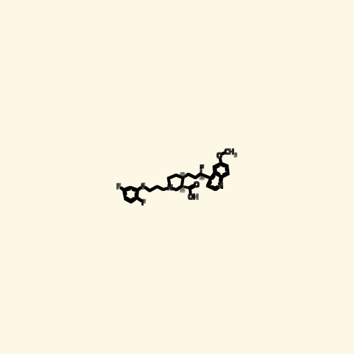 COc1ccc2nccc([C@@H](F)CC[C@@H]3CCN(CCCSc4cc(F)ccc4F)C[C@@H]3C(=O)O)c2c1